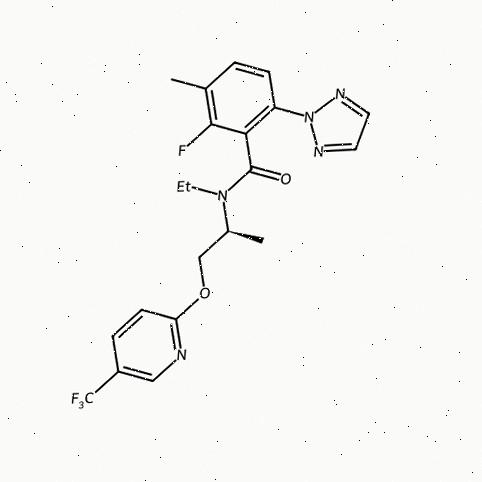 CCN(C(=O)c1c(-n2nccn2)ccc(C)c1F)[C@@H](C)COc1ccc(C(F)(F)F)cn1